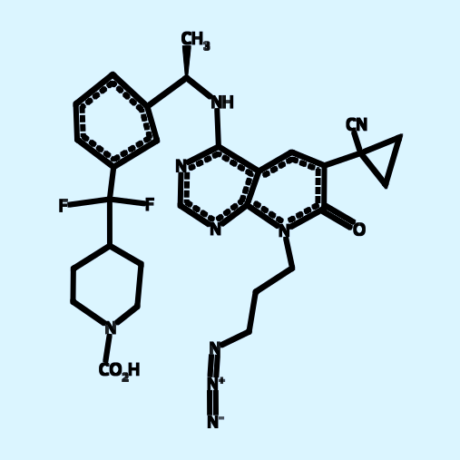 C[C@@H](Nc1ncnc2c1cc(C1(C#N)CC1)c(=O)n2CCCN=[N+]=[N-])c1cccc(C(F)(F)C2CCN(C(=O)O)CC2)c1